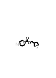 O=C(OCC1CCOC1)N1CCNCC1